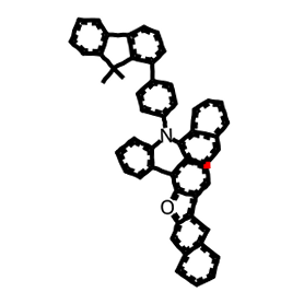 CC1(C)c2ccccc2-c2cccc(-c3ccc(N(c4ccccc4-c4cccc5c4oc4cc6ccccc6cc45)c4cccc5ccccc45)cc3)c21